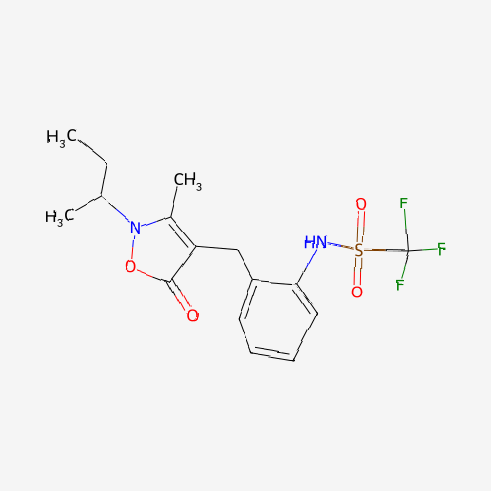 CCC(C)n1oc(=O)c(Cc2ccccc2NS(=O)(=O)C(F)(F)F)c1C